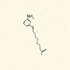 C=C(C)CCCCCCCSc1cccc(N)c1